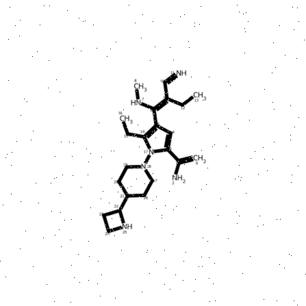 C=C(N)c1cc(/C(NC)=C(/C=N)CC)c(CC)n1N1CCC(C2CCN2)CC1